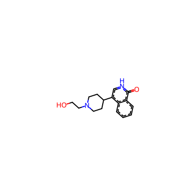 O=c1[nH]cc(C2CCN(CCO)CC2)c2ccccc12